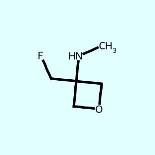 CNC1(CF)COC1